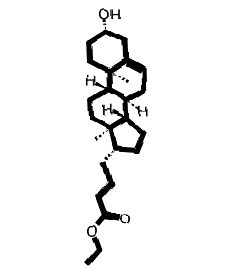 CCOC(=O)CCC[C@H]1CC[C@H]2[C@@H]3CC=C4C[C@@H](O)CC[C@]4(C)[C@H]3CC[C@]12C